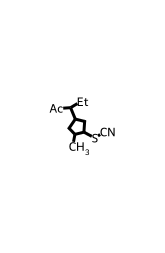 CCC(C(C)=O)C1CC(C)C(SC#N)C1